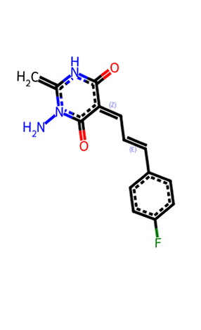 C=c1[nH]c(=O)/c(=C/C=C/c2ccc(F)cc2)c(=O)n1N